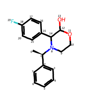 C[C@H](c1ccccc1)N1CCOC(O)C1c1ccc(F)cc1